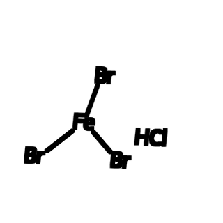 Cl.[Br][Fe]([Br])[Br]